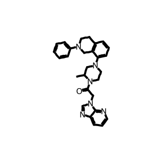 CC1CN(c2cccc3c2CN(c2ccccc2)CC3)CCN1C(=O)Cn1cnc2cccnc21